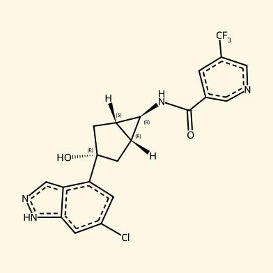 O=C(N[C@H]1[C@@H]2C[C@@](O)(c3cc(Cl)cc4[nH]ncc34)C[C@@H]21)c1cncc(C(F)(F)F)c1